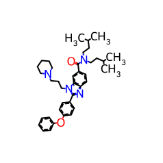 CC(C)CCN(CCC(C)C)C(=O)c1ccc2nc(-c3ccc(Oc4ccccc4)cc3)n(CCCN3CCCCC3)c2c1